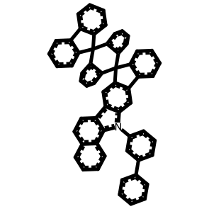 c1ccc(-c2cccc(-n3c4cc5c(cc4c4ccc6ccccc6c43)C3(c4ccccc4-5)c4ccccc4C4(c5ccccc5-c5ccccc54)c4ccccc43)c2)cc1